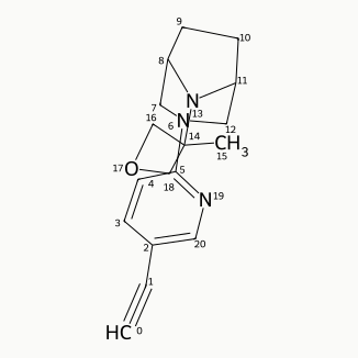 C#Cc1ccc(N2CC3CCC(C2)N3C2(C)COC2)nc1